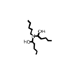 CCCCCN(C(O)CCCC)C(O)CCCC